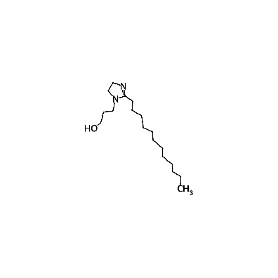 CCCCCCCCCCCCC1=NCCN1CCCO